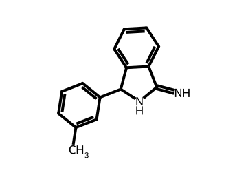 Cc1cccc(C2NC(=N)c3ccccc32)c1